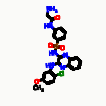 COc1ccc(Cl)c(Nc2nc3ccccc3nc2NS(=O)(=O)c2cccc(NC(=O)CN)c2)c1